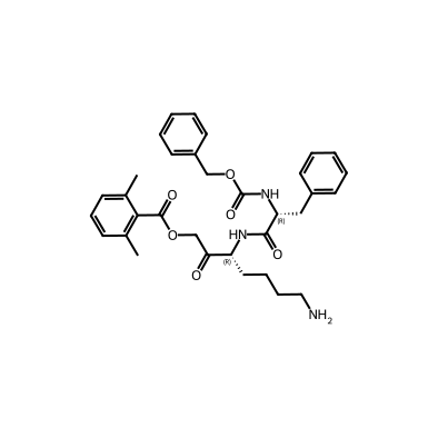 Cc1cccc(C)c1C(=O)OCC(=O)[C@@H](CCCCN)NC(=O)[C@@H](Cc1ccccc1)NC(=O)OCc1ccccc1